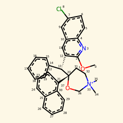 COc1nc2ccc(Cl)cc2cc1[C@@H](c1ccccc1)[C@]1(c2cccc3ccccc23)CC[N+](C)(C)CO1